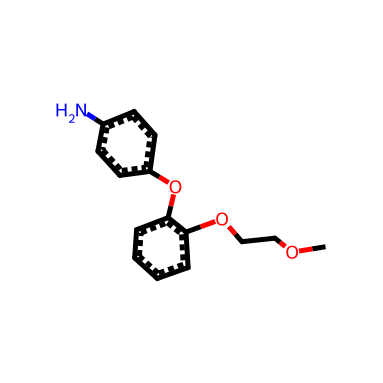 COCCOc1ccccc1Oc1ccc(N)cc1